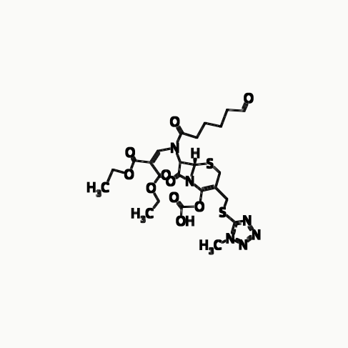 CCOC(=O)C(=CN(C(=O)CCCCC=O)C1C(=O)N2C(OC(=O)O)=C(CSc3nnnn3C)CS[C@@H]12)C(=O)OCC